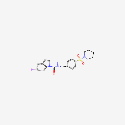 O=C(NCc1ccc(S(=O)(=O)N2CCCCC2)cc1)n1ccc2cc(I)ccc21